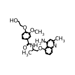 COc1cc(C(=O)NC(C)COc2cccc3nc(C)cc(N)c23)ccc1OCCO